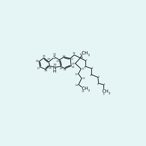 CCCCCCCCC(C)(CCCCCC)Cc1ccc2c(c1)Sc1ccccc1N2